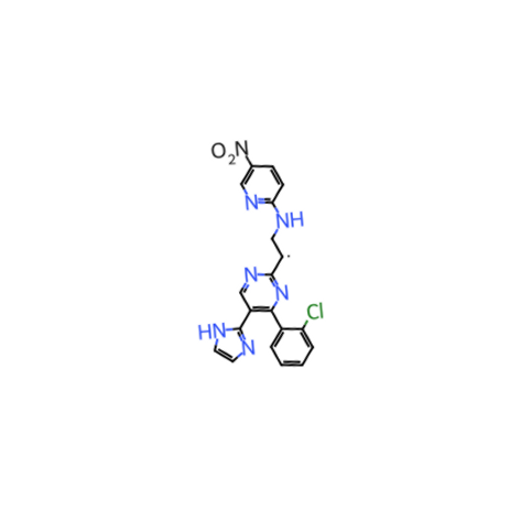 O=[N+]([O-])c1ccc(NC[CH]c2ncc(-c3ncc[nH]3)c(-c3ccccc3Cl)n2)nc1